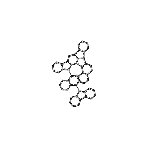 c1ccc2c(c1)ccc1c2c2c3c(cc4c5ccccc5n1c42)c1ccccc1n3-c1nnc(-n2c3ccccc3c3ccccc32)c2ccccc12